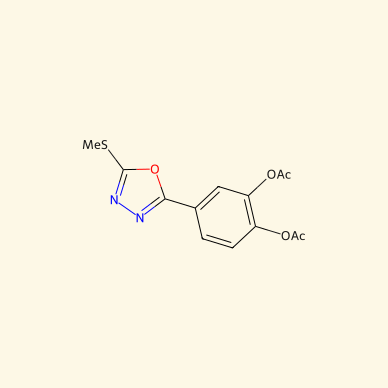 CSc1nnc(-c2ccc(OC(C)=O)c(OC(C)=O)c2)o1